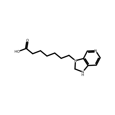 O=C(O)CCCCCCN1CNc2ccncc21